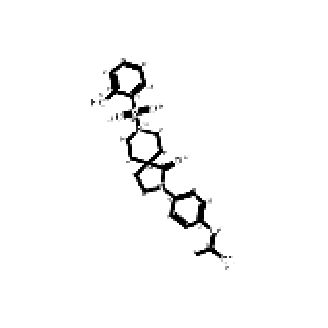 CC(Oc1ccc(N2CCC3(CCN(S(=O)(=O)c4ccccc4C(F)(F)F)CC3)C2=O)cc1)C(F)(F)F